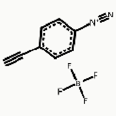 C#Cc1ccc([N+]#N)cc1.F[B-](F)(F)F